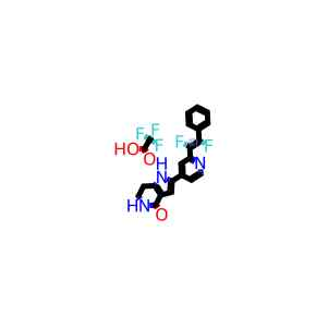 O=C(O)C(F)(F)F.O=C1NCCc2[nH]c(-c3ccnc(/C(F)=C(\F)c4ccccc4)c3)cc21